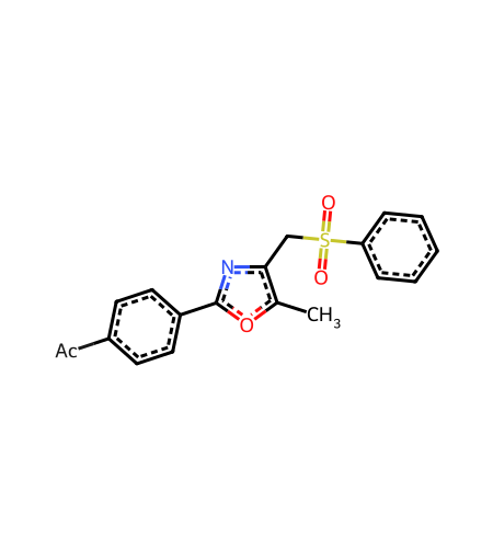 CC(=O)c1ccc(-c2nc(CS(=O)(=O)c3ccccc3)c(C)o2)cc1